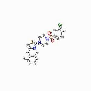 Cc1cccc(C)c1Cc1csc(N2CCN(S(=O)(=O)c3cccc(Br)c3)CC2)n1